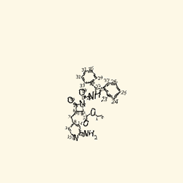 CCOC(=O)[C@@H]1[C@@H](Cc2ccnc(N)c2)C(=O)N1C(=O)NC(c1ccccc1)c1ccccc1